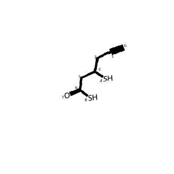 C#CCC(S)CC(=O)S